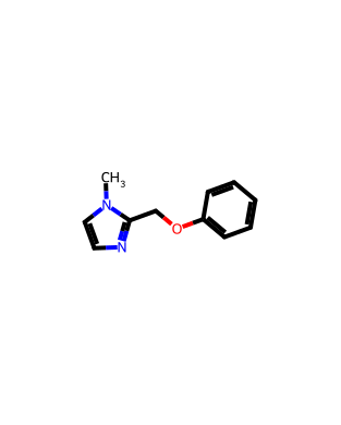 Cn1ccnc1COc1ccccc1